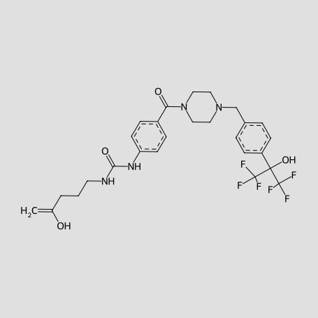 C=C(O)CCCNC(=O)Nc1ccc(C(=O)N2CCN(Cc3ccc(C(O)(C(F)(F)F)C(F)(F)F)cc3)CC2)cc1